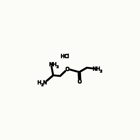 Cl.NCC(=O)OCC(N)N